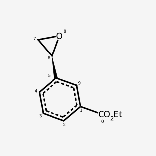 CCOC(=O)c1cccc([C@H]2CO2)c1